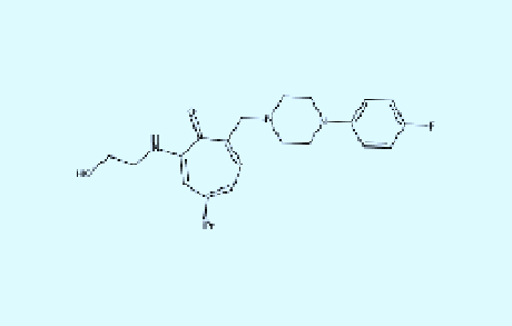 CC(C)c1ccc(CN2CCN(c3ccc(F)cc3)CC2)c(=O)c(NCCO)c1